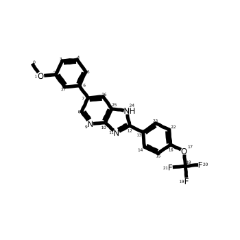 COc1cccc(-c2cnc3nc(-c4ccc(OC(F)(F)F)cc4)[nH]c3c2)c1